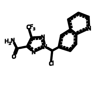 NC(=O)c1nn(C(Cl)c2ccc3ncccc3c2)nc1C(F)(F)F